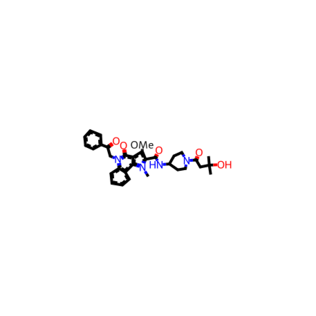 COc1c(C(=O)NC2CCN(C(=O)CC(C)(C)O)CC2)n(C)c2c1c(=O)n(CC(=O)c1ccccc1)c1ccccc21